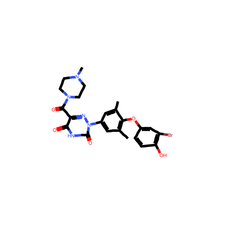 Cc1cc(-n2nc(C(=O)N3CCN(C)CC3)c(=O)[nH]c2=O)cc(C)c1Oc1ccc(O)c(Br)c1